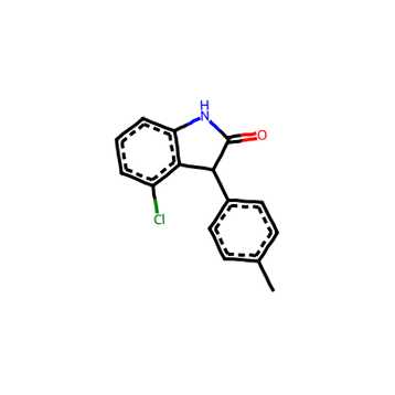 Cc1ccc(C2C(=O)Nc3cccc(Cl)c32)cc1